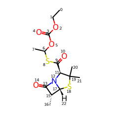 CCOC(=O)OC(C)SC(=O)[C@@H]1N2C(=O)[C@@H](C)[C@H]2SC1(C)C